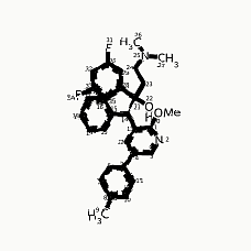 COc1ncc(-c2ccc(C)cc2)cc1[C@@H](c1ccccc1)C(O)(CCN(C)C)c1cc(F)cc(F)c1